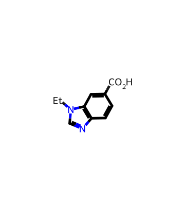 CCn1cnc2ccc(C(=O)O)cc21